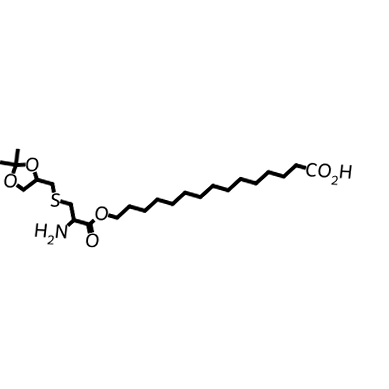 CC1(C)OCC(CSCC(N)C(=O)OCCCCCCCCCCCCCCC(=O)O)O1